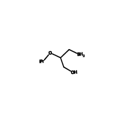 BCC(CO)OC(C)C